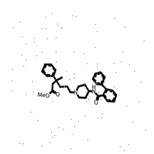 COC(=O)CC(C)(CCCN1CCC(NC(=O)c2ccccc2-c2ccccc2)CC1)c1ccccc1